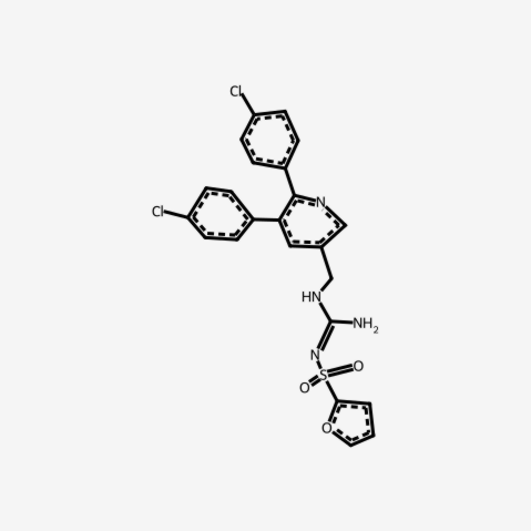 N/C(=N\S(=O)(=O)c1ccco1)NCc1cnc(-c2ccc(Cl)cc2)c(-c2ccc(Cl)cc2)c1